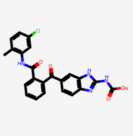 Cc1ccc(Cl)cc1NC(=O)c1ccccc1C(=O)c1ccc2nc(NC(=O)O)[nH]c2c1